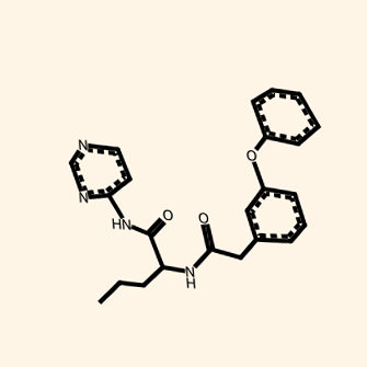 CCCC(NC(=O)Cc1cccc(Oc2ccccc2)c1)C(=O)Nc1ccncn1